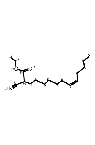 CCCC/C=C\CCCCCCC(C#N)C(=O)OCC